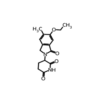 CCOc1cc2c(cc1C)CN(C1CCC(=O)NC1=O)C2=O